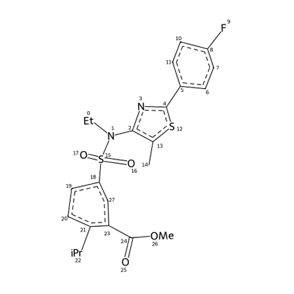 CCN(c1nc(-c2ccc(F)cc2)sc1C)S(=O)(=O)c1ccc(C(C)C)c(C(=O)OC)c1